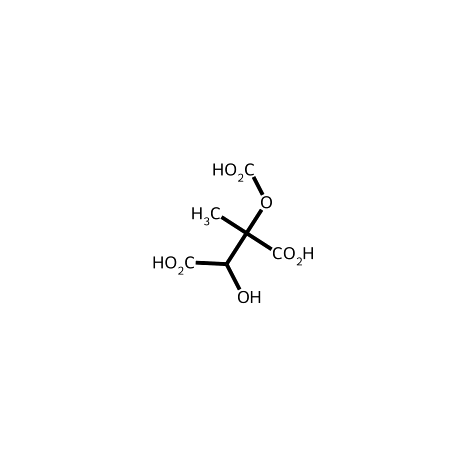 CC(OC(=O)O)(C(=O)O)C(O)C(=O)O